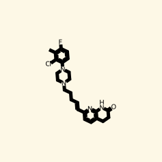 Cc1c(F)ccc(N2CCN(CCCC=Cc3ccc4c(n3)NC(=O)CC4)CC2)c1Cl